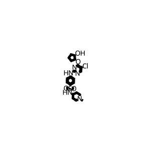 CN1CCC(NS(=O)(=O)c2ccc(Nc3ncc(Cl)c(O[C@@H]4CCC[C@@H]4O)n3)cc2)CC1